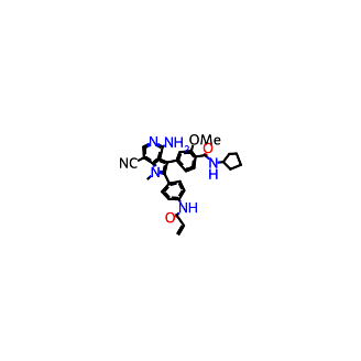 C=CC(=O)Nc1ccc(-c2c(-c3ccc(C(=O)NC4CCCC4)c(OC)c3)c3c(N)ncc(C#N)c3n2C)cc1